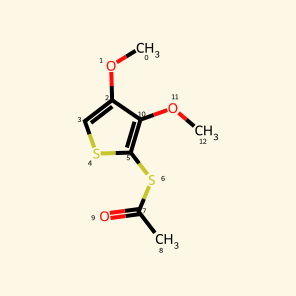 COc1csc(SC(C)=O)c1OC